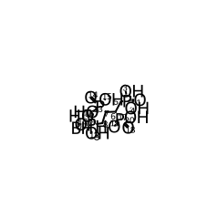 B.O=P(O)(O)CC(C(CP(=O)(O)O)P(=O)(O)O)P(=O)(O)O